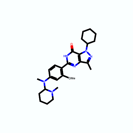 COc1cc(N(C)C2CCCCN2C)ccc1-c1nc2c(C)nn(C3CCCCC3)c2c(=O)[nH]1